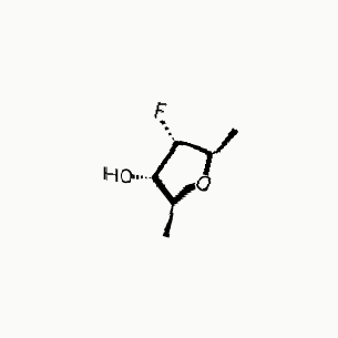 C[C@@H]1O[C@H](C)[C@@H](F)[C@H]1O